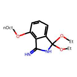 CCCCCCCCOc1cccc2c1C(=N)NC2(OCC)OCC